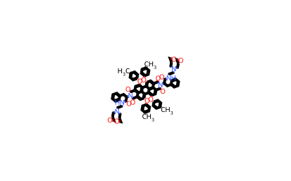 Cc1ccc(Oc2cc3c4c(cc(Oc5ccc(C)cc5)c5c6c(Oc7ccc(C)cc7)cc7c8c(cc(Oc9ccc(C)cc9)c(c2c45)c86)C(=O)N(C(Cc2ccccc2)C(=O)NCCN(CC2CO2)CC2CO2)C7=O)C(=O)N(C(Cc2ccccc2)C(=O)NCCN(CC2CO2)CC2CO2)C3=O)cc1